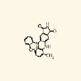 Cc1ccccc1Nc1cc2c(cc1Nc1ccccc1C)C(=O)NC2=O